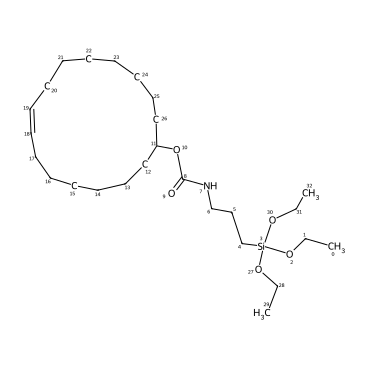 CCO[Si](CCCNC(=O)OC1CCCCCCC=CCCCCCCC1)(OCC)OCC